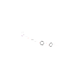 CCPCC(=O)OCCCCOc1ccc(C(=O)Oc2ccc(B(O)O)cc2)cc1